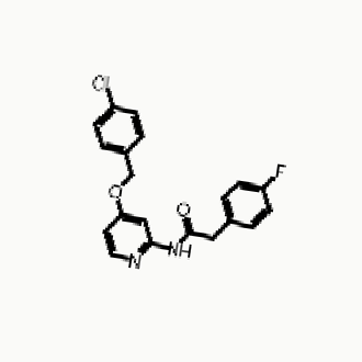 O=C(Cc1ccc(F)cc1)Nc1cc(OCc2ccc(Cl)cc2)ccn1